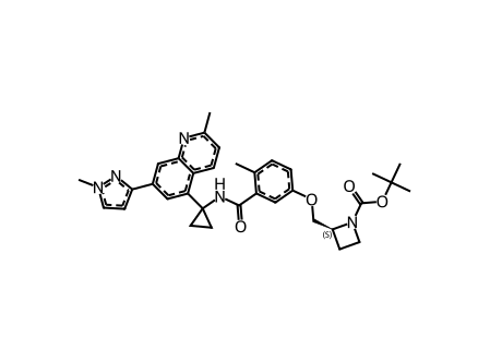 Cc1ccc2c(C3(NC(=O)c4cc(OC[C@@H]5CCN5C(=O)OC(C)(C)C)ccc4C)CC3)cc(-c3ccn(C)n3)cc2n1